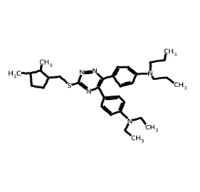 CCCN(CCC)c1ccc(-c2nnc(SCC3CCC(C)C3C)nc2-c2ccc(N(CC)CC)cc2)cc1